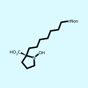 CCCCCCCCCCCCCCCC[C@@]1(C(=O)O)CCCN1O